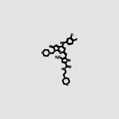 Cc1cc(C(=O)NCCN2CCOCC2)[nH]c1C=c1nc(Nc2ccc(F)c(Cl)c2)c2c(n1)N(CN1CCOCC1)C(=O)C=2